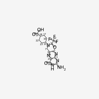 Nc1nc2ncc(CN(C(=O)C(F)(F)F)C3CCC(C(=O)O)CC3)nc2c(=O)[nH]1